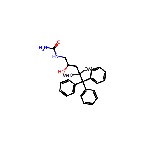 COC(CC(O)CNC(N)=O)(OC)C(c1ccccc1)(c1ccccc1)c1ccccc1